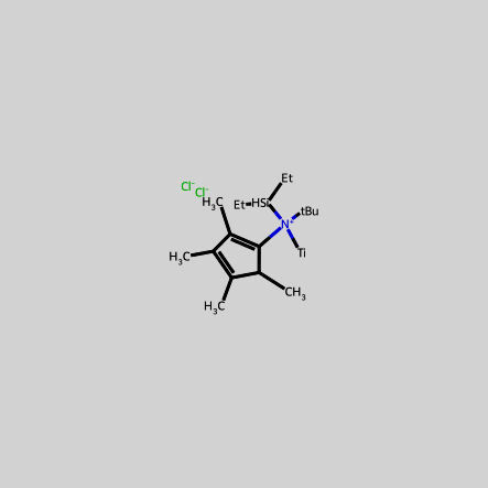 CC[SiH](CC)[N+]([Ti])(C1=C(C)C(C)=C(C)C1C)C(C)(C)C.[Cl-].[Cl-]